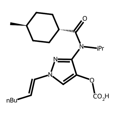 CCCC/C=C/n1cc(OC(=O)O)c(N(C(=O)[C@H]2CC[C@H](C)CC2)C(C)C)n1